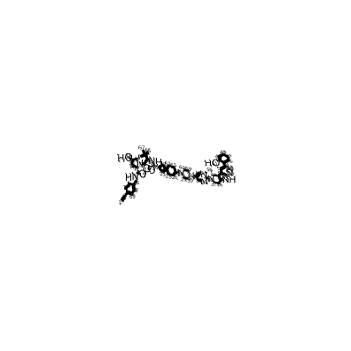 C#Cc1ccc(CNC(=O)[C@@H]2C[C@@H](O)CN2C(=O)[C@@H](NC(=O)[C@H]2CC3(CC[C@H](N4CCN(c5cnc(N6CCC7Nc8nnc(-c9ccccc9O)cc8C7[C@H]6C)nc5)CC4)CC3)C2)C(C)(C)C)cc1